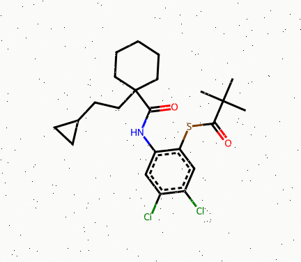 CC(C)(C)C(=O)Sc1cc(Cl)c(Cl)cc1NC(=O)C1(CCC2CC2)CCCCC1